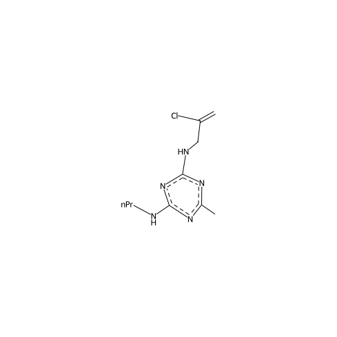 C=C(Cl)CNc1nc(C)nc(NCCC)n1